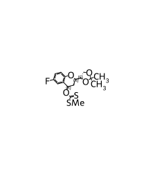 CSC(=S)O[C@@H]1C[C@H]([C@@H]2COC(C)(C)O2)Oc2ccc(F)cc21